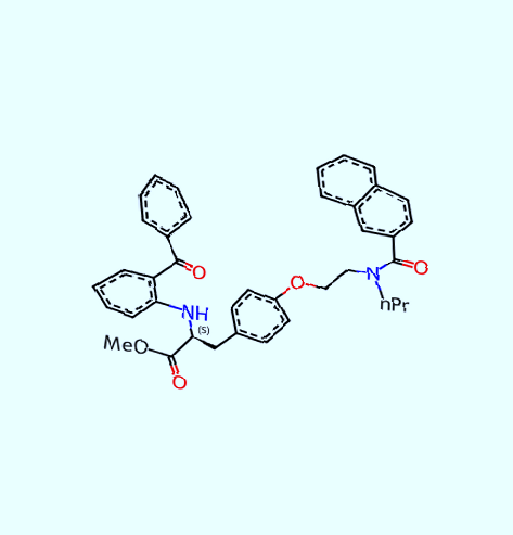 CCCN(CCOc1ccc(C[C@H](Nc2ccccc2C(=O)c2ccccc2)C(=O)OC)cc1)C(=O)c1ccc2ccccc2c1